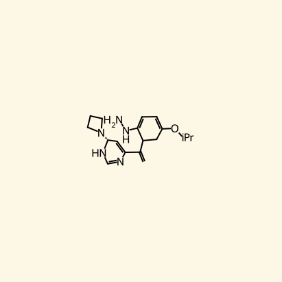 C=C(C1=C[C@@H](N2CCC2)NC=N1)C1CC(OC(C)C)=CC=C1NN